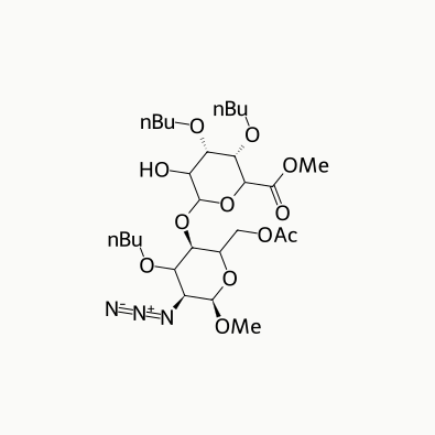 CCCCOC1[C@@H](OC2OC(C(=O)OC)[C@@H](OCCCC)[C@@H](OCCCC)C2O)C(COC(C)=O)O[C@@H](OC)[C@H]1N=[N+]=[N-]